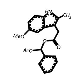 COc1ccc2[nH]c(C)c(CC(=O)OC(OC(C)=O)c3ccccc3)c2c1